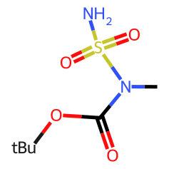 CN(C(=O)OC(C)(C)C)S(N)(=O)=O